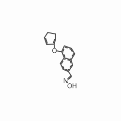 ON=Cc1ccc2c(OC3=CCCC=C3)cccc2c1